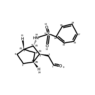 O=CC[C@H]1[C@@H]2CC[C@@H](C2)[C@@H]1NS(=O)(=O)c1ccccc1